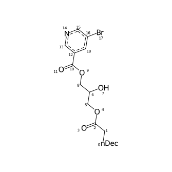 CCCCCCCCCCCC(=O)OCC(O)COC(=O)c1cncc(Br)c1